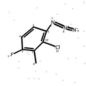 Cc1c(F)ccc(N=[N+]=[N-])c1Cl